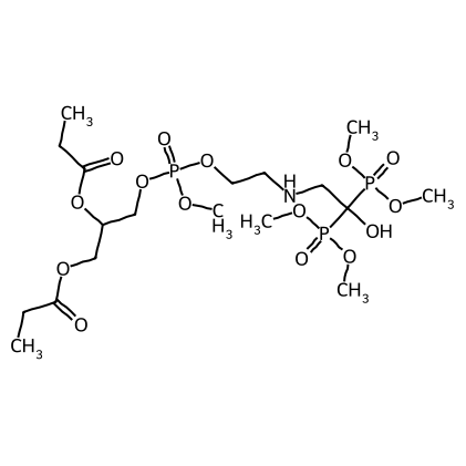 CCC(=O)OCC(COP(=O)(OC)OCCNCC(O)(P(=O)(OC)OC)P(=O)(OC)OC)OC(=O)CC